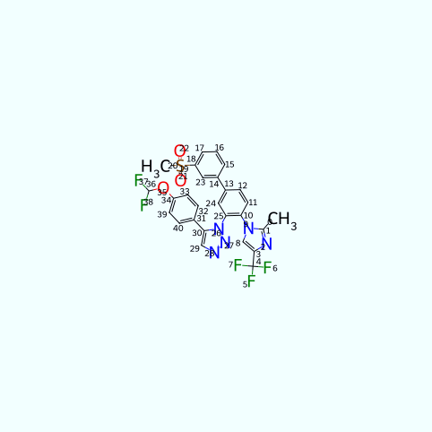 Cc1nc(C(F)(F)F)cn1-c1ccc(-c2cccc(S(C)(=O)=O)c2)cc1-n1nncc1-c1ccc(OC(F)F)cc1